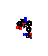 CNC(=O)c1ccc(-c2cccc(NC(=O)C3(c4ccc5c(c4)OCO5)CC3)c2C)cc1